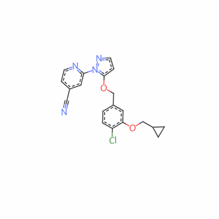 N#Cc1ccnc(-n2nccc2OCc2ccc(Cl)c(OCC3CC3)c2)c1